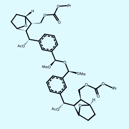 CO[C@H](O[C@@H](OC)c1cccc([C@H](OC(C)=O)[C@@H]2C3CC[C@@H](O3)[C@@H]2COC(=O)OC(C)C)c1)c1cccc([C@@H](OC(C)=O)[C@@H]2C3CC[C@@H](O3)[C@@H]2COC(=O)OC(C)C)c1